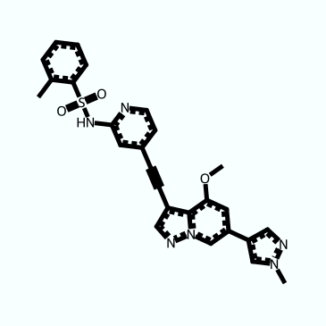 COc1cc(-c2cnn(C)c2)cn2ncc(C#Cc3ccnc(NS(=O)(=O)c4ccccc4C)c3)c12